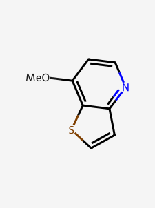 COc1ccnc2ccsc12